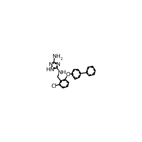 Nc1n[nH]c(NCc2c(Cl)cccc2Oc2ccc(-c3ccccc3)cc2)n1